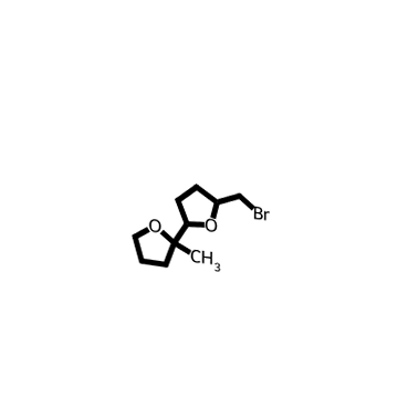 CC1(C2CCC(CBr)O2)CCCO1